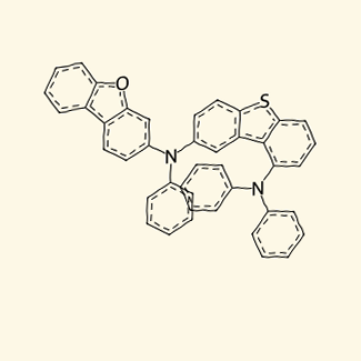 c1ccc(N(c2ccc3c(c2)oc2ccccc23)c2ccc3sc4cccc(N(c5ccccc5)c5ccccc5)c4c3c2)cc1